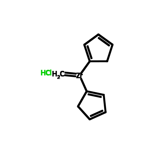 Cl.[CH2]=[Zr]([C]1=CC=CC1)[C]1=CC=CC1